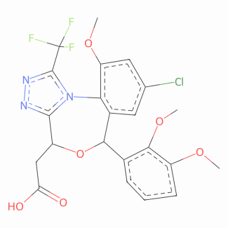 COc1cccc(C2OC(CC(=O)O)c3nnc(C(F)(F)F)n3-c3c(OC)cc(Cl)cc32)c1OC